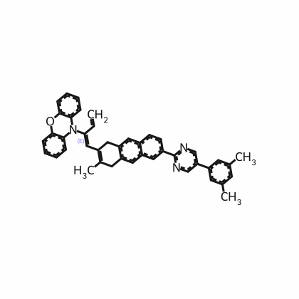 C=C/C(=C\C1=C(C)Cc2cc3cc(-c4ncc(-c5cc(C)cc(C)c5)cn4)ccc3cc2C1)N1c2ccccc2Oc2ccccc21